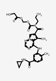 CCCN(C(=O)OCOC(=O)CO)C(=O)c1cn2ncnc(Nc3cc(C(=O)NC4CC4)ccc3C)c2c1C